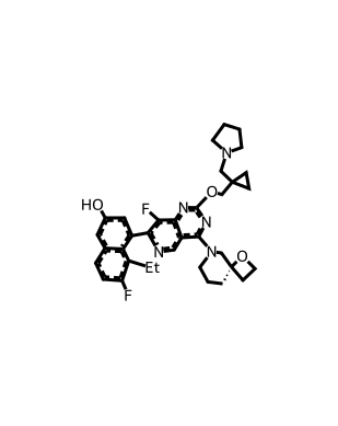 CCc1c(F)ccc2cc(O)cc(-c3ncc4c(N5CCC[C@]6(CCO6)C5)nc(OCC5(CN6CCCC6)CC5)nc4c3F)c12